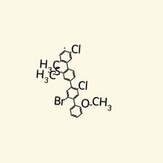 CCOc1ccccc1-c1cc(Cl)c(-c2ccc(-c3cc(Cl)[c]cc3C)c(SC)c2)cc1Br